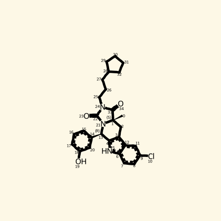 C[C@@]12Cc3c([nH]c4ccc(Cl)cc34)[C@@H](c3cccc(O)c3)N1C(=O)N(CCCC1CCCC1)C2=O